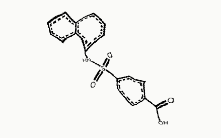 O=C(O)c1ccc(S(=O)(=O)Nc2cccc3ccccc23)cc1